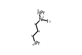 CCCN(I)CCCC(C)C